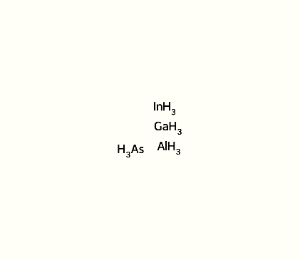 [AlH3].[AsH3].[GaH3].[InH3]